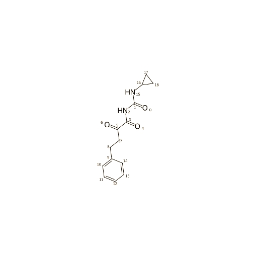 O=C(NC(=O)C(=O)[CH]Cc1ccccc1)NC1CC1